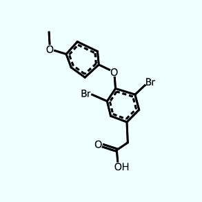 COc1ccc(Oc2c(Br)cc(CC(=O)O)cc2Br)cc1